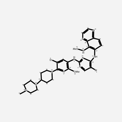 CCc1cc(Nc2ncc(Br)c(Nc3ccc4nccnc4c3NSC)n2)c(OC)nc1N1CCC(N2CCN(C)CC2)CC1